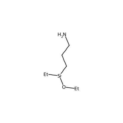 CCO[Si](CC)CCCN